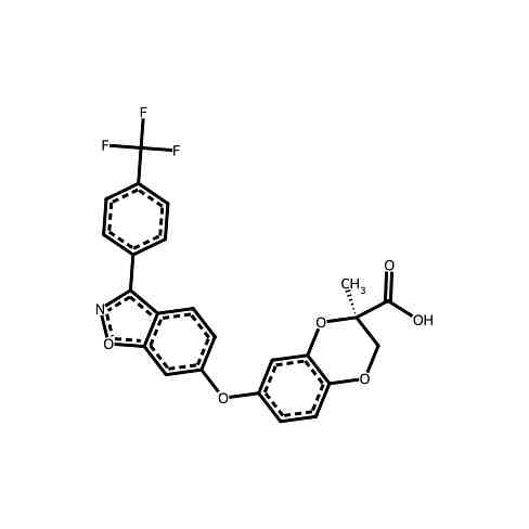 C[C@]1(C(=O)O)COc2ccc(Oc3ccc4c(-c5ccc(C(F)(F)F)cc5)noc4c3)cc2O1